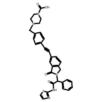 O=C(Nc1nccs1)C(c1ccccc1)N1Cc2ccc(C#Cc3ccc(CN4CCN(C(=O)O)CC4)cc3)cc2C1=O